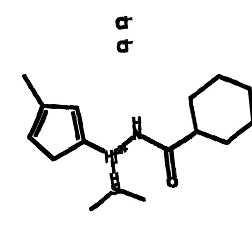 CC1=CC[C]([Hf+2]([NH]C(=O)C2CCCCC2)[SiH](C)C)=C1.[Cl-].[Cl-]